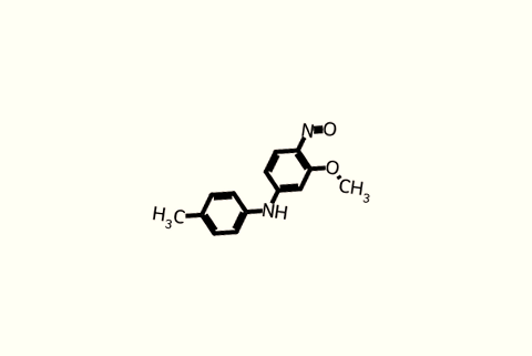 COc1cc(Nc2ccc(C)cc2)ccc1N=O